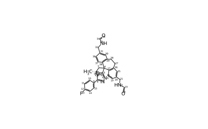 C[C@@H](N)CC1(c2nnc(-c3ccc(F)cc3)o2)c2ccc(CNC=O)cc2CCc2cc(CNC=O)ccc21